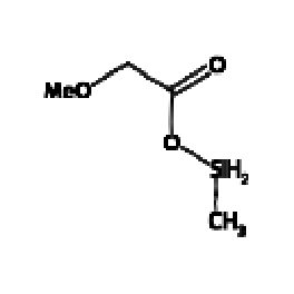 COCC(=O)O[SiH2]C